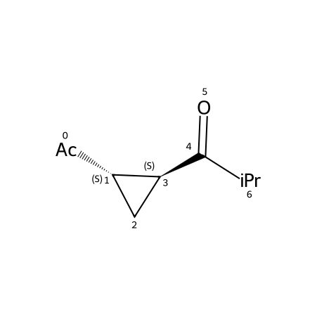 CC(=O)[C@H]1C[C@@H]1C(=O)C(C)C